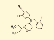 CCC(CC)N1C[C@@H](N(Cc2ccccc2F)c2ccc(C#N)c(Cl)c2)CCO1